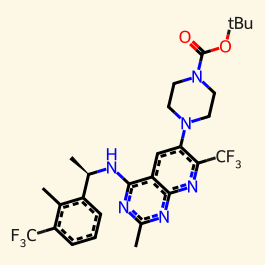 Cc1nc(N[C@H](C)c2cccc(C(F)(F)F)c2C)c2cc(N3CCN(C(=O)OC(C)(C)C)CC3)c(C(F)(F)F)nc2n1